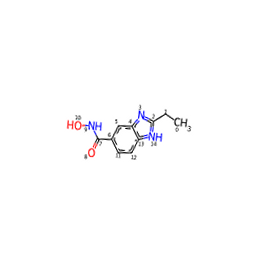 CCc1nc2cc(C(=O)NO)ccc2[nH]1